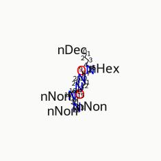 CCCCCCCCCCCCCCN(CCCCCC)CC(=O)N1CCN(C(=O)CN(CCCCCCCCC)CCN(CCCCCCCCC)CCCCCCCCC)CC1